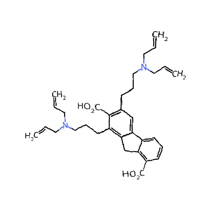 C=CCN(CC=C)CCCc1cc2c(c(CCCN(CC=C)CC=C)c1C(=O)O)Cc1c(C(=O)O)cccc1-2